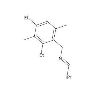 CCc1cc(C)c(C/N=C/C(C)C)c(CC)c1C